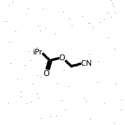 CC(C)C(=O)OCC#N